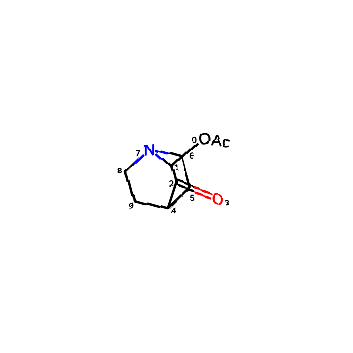 CC(=O)OC1C(=O)C2CCN1CC2